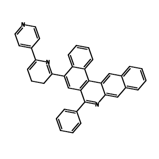 C1=C(c2ccncc2)N=C(c2cc3c(-c4ccccc4)nc4cc5ccccc5cc4c3c3ccccc23)CC1